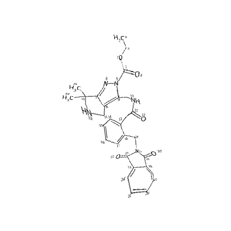 CCOC(=O)n1nc2c(c1NC(=O)c1ccccc1CN1C(=O)c3ccccc3C1=O)CNC2(C)C